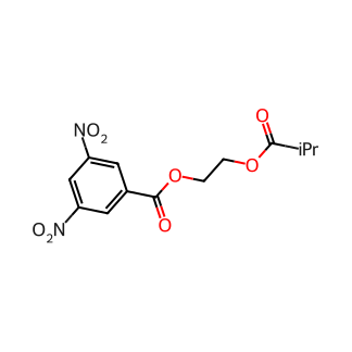 CC(C)C(=O)OCCOC(=O)c1cc([N+](=O)[O-])cc([N+](=O)[O-])c1